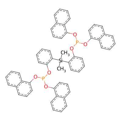 C[Si](C)(c1ccccc1OP(Oc1cccc2ccccc12)Oc1cccc2ccccc12)c1ccccc1OP(Oc1cccc2ccccc12)Oc1cccc2ccccc12